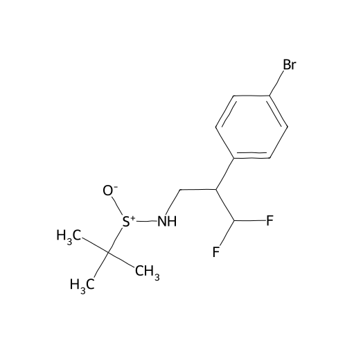 CC(C)(C)[S+]([O-])NCC(c1ccc(Br)cc1)C(F)F